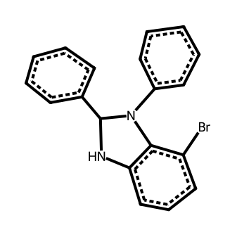 Brc1cccc2c1N(c1ccccc1)C(c1ccccc1)N2